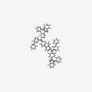 CC1(C)c2cc(N(C3=CC=C(c4nc5ccccc5n4-c4ccccc4)CC3)c3cccc(-c4ccccc4)c3)ccc2-c2ccc(N(c3ccc(-c4nc5ccccc5n4-c4ccccc4)cc3)c3cccc(-c4ccccc4)c3)cc21